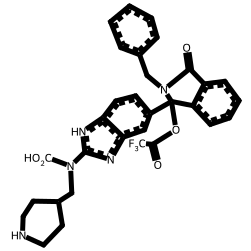 O=C(O)N(CC1CCNCC1)c1nc2cc(C3(OC(=O)C(F)(F)F)c4ccccc4C(=O)N3Cc3ccccc3)ccc2[nH]1